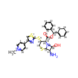 C[n+]1ccc(-c2csc(SC3CSC4C(N)[C@H](O)N4[C@@H]3C(=O)OC(C3=CC=CCC3)c3ccccc3)n2)cc1